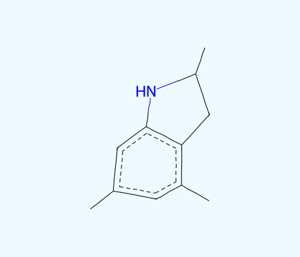 Cc1cc(C)c2c(c1)NC(C)C2